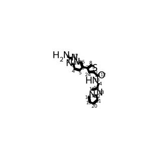 Nc1nc2ccc(-c3csc(C(=O)NCc4cn5ccccc5n4)c3)cn2n1